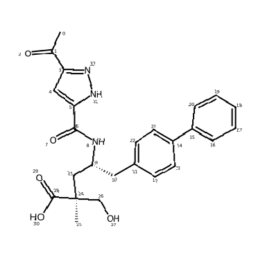 CC(=O)c1cc(C(=O)N[C@H](Cc2ccc(-c3ccccc3)cc2)C[C@@](C)(CO)C(=O)O)[nH]n1